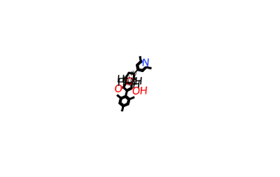 Cc1cc(C)c(C2=C(O)[C@@H]3[C@@H]4O[C@@H](C[C@H]4c4cc(C)nc(C)c4)[C@@H]3C2=O)c(C)c1